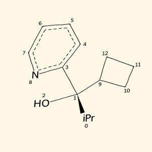 CC(C)[C@@](O)(c1ccccn1)C1CCC1